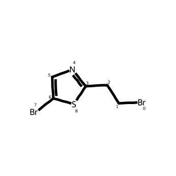 BrCCc1ncc(Br)s1